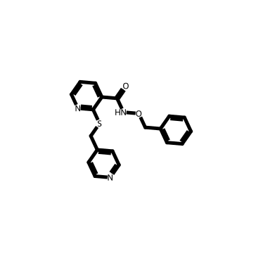 O=C(NOCc1ccccc1)c1cccnc1SCc1ccncc1